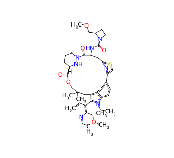 C=C/C(=C(\N=C/C)[C@H](C)OC)c1c2c3cc(ccc3n1CC)-c1csc(n1)C[C@H](NC(=O)N1CC[C@@H]1COC)C(=O)N1CCC[C@H](N1)C(=O)OCC(C)(C)C2